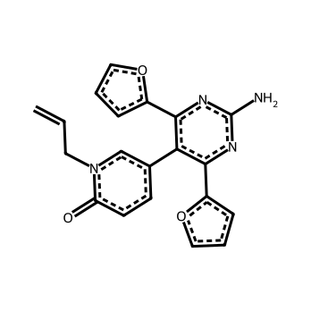 C=CCn1cc(-c2c(-c3ccco3)nc(N)nc2-c2ccco2)ccc1=O